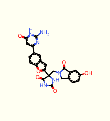 Nc1nc(-c2ccc3oc(C4(CN5Cc6ccc(O)cc6C5=O)NC(=O)NC4=O)cc3c2)cc(=O)[nH]1